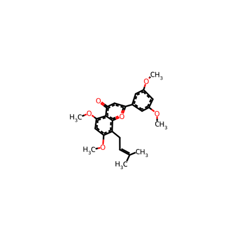 COc1cc(OC)cc(-c2cc(=O)c3c(OC)cc(OC)c(CC=C(C)C)c3o2)c1